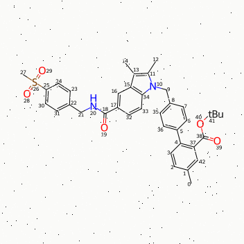 Cc1ccc(-c2ccc(Cn3c(C)c(C)c4cc(C(=O)NCc5ccc(S(C)(=O)=O)cc5)ccc43)cc2)c(C(=O)OC(C)(C)C)c1